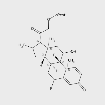 CCCCCOCC(=O)[C@H]1C(C)C[C@H]2[C@@H]3CC(F)C4=CC(=O)C=C[C@]4(C)[C@@]3(F)C(O)C[C@]12C